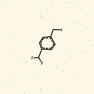 FC(F)c1ccc(CI)cc1